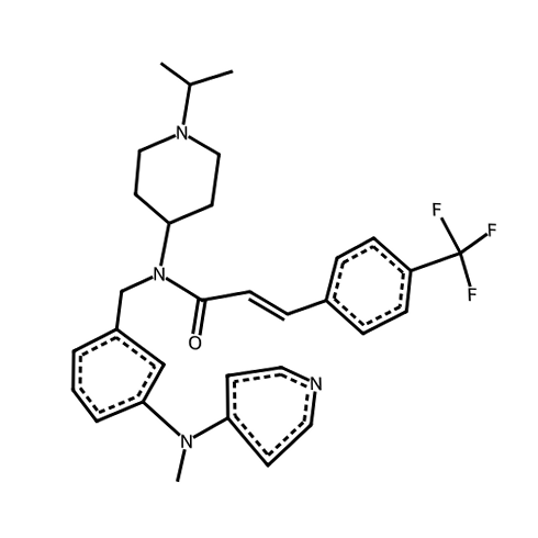 CC(C)N1CCC(N(Cc2cccc(N(C)c3ccncc3)c2)C(=O)C=Cc2ccc(C(F)(F)F)cc2)CC1